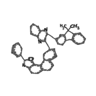 CC1(C)c2ccccc2-c2ccc(-c3nc4ccccc4nc3-c3ccc4ccc5ccc6nc(-c7ccccc7)oc6c5c4c3)cc21